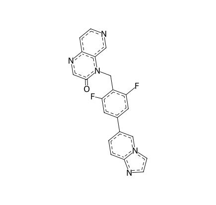 O=c1cnc2ccncc2n1Cc1c(F)cc(-c2ccc3nccn3c2)cc1F